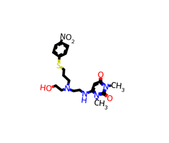 Cn1c(NCCN(CCO)CCCSc2ccc([N+](=O)[O-])cc2)cc(=O)n(C)c1=O